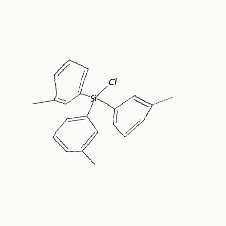 Cc1cccc([Si](Cl)(c2cccc(C)c2)c2cccc(C)c2)c1